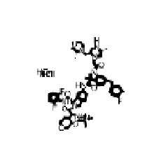 CNC(C)C(=O)NC(C(=O)N1Cc2ccc(NC(=O)C3(C)CN(C(=O)CN4C[C@@H](C)NC[C@@H]4CN4CCOC[C@H]4C)c4cc(Cc5ccc(F)cc5)ccc43)cc2[C@H]1C(=O)Nc1c(F)cccc1F)C1CCOCC1.Cl.Cl.Cl